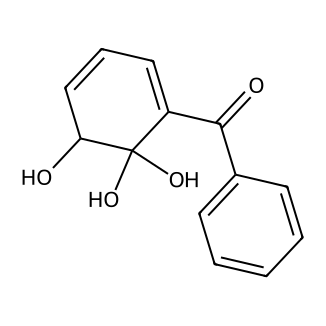 O=C(C1=CC=CC(O)C1(O)O)c1ccccc1